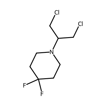 FC1(F)CCN(C(CCl)CCl)CC1